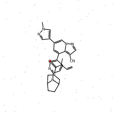 C=CC(C)C(=O)N1CC2CCC(C1)N2c1ccc(-c2cc(-c3cnn(C)c3)cn3ncc(C#N)c23)cn1